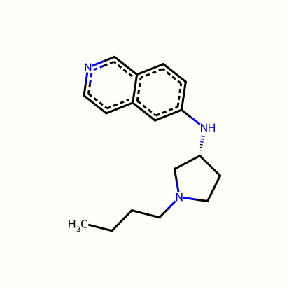 CCCCN1CC[C@@H](Nc2ccc3cnccc3c2)C1